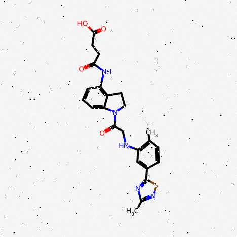 Cc1nsc(-c2ccc(C)c(NCC(=O)N3CCc4c(NC(=O)CCC(=O)O)cccc43)c2)n1